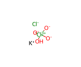 [Cl-].[K+].[O-][Cl+3]([O-])([O-])O